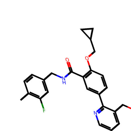 Cc1ccc(CNC(=O)c2cc(-c3ncccc3CO)ccc2OCC2CC2)cc1F